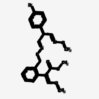 COC=C(C(=O)OC)c1ccccc1CON=CC(C=NOC)c1ccc(Br)cc1